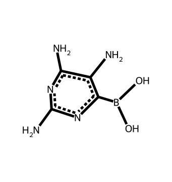 Nc1nc(N)c(N)c(B(O)O)n1